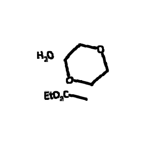 C1COCCO1.CCOC(C)=O.O